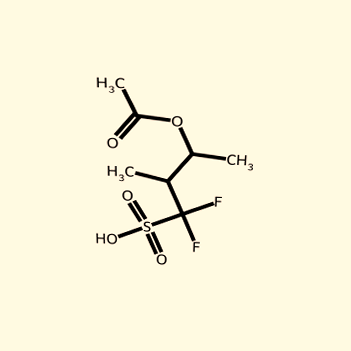 CC(=O)OC(C)C(C)C(F)(F)S(=O)(=O)O